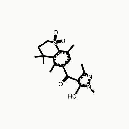 Cc1cc(C(=O)c2c(C)nn(C)c2O)c(C)c2c1S(=O)(=O)CCC2(C)C